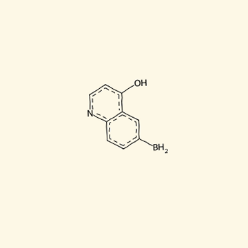 Bc1ccc2nccc(O)c2c1